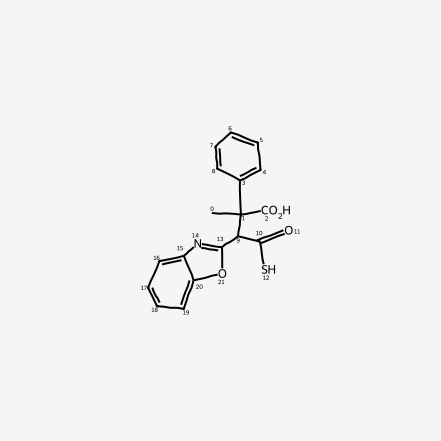 CC(C(=O)O)(c1ccccc1)C(C(=O)S)c1nc2ccccc2o1